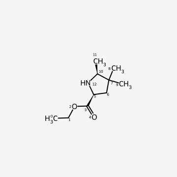 CCOC(=O)[C@@H]1CC(C)(C)[C@H](C)N1